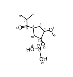 COC1CC(C(=O)C(C)C)C[C@@H]1ON(O)O